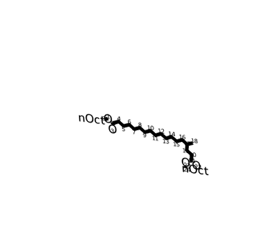 CCCCCCCCOC(=O)CCCCCCCCCCCCCC(C)CCC(=O)OCCCCCCCC